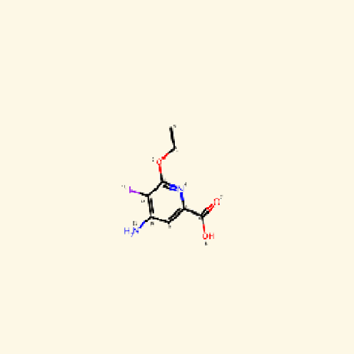 CCOc1nc(C(=O)O)cc(N)c1I